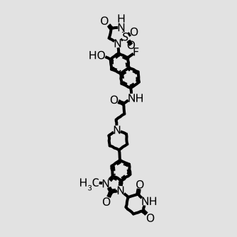 Cn1c(=O)n(C2CCC(=O)NC2=O)c2ccc(C3CCN(CCC(=O)Nc4ccc5c(F)c(N6CC(=O)NS6(=O)=O)c(O)cc5c4)CC3)cc21